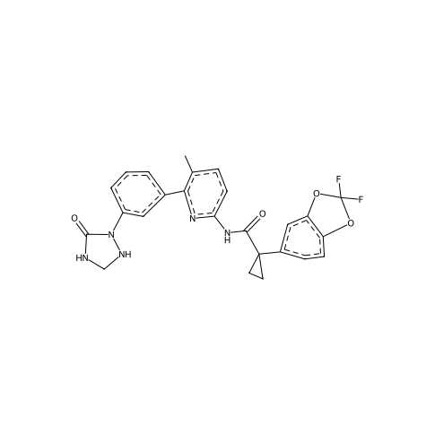 Cc1ccc(NC(=O)C2(c3ccc4c(c3)OC(F)(F)O4)CC2)nc1-c1cccc(N2NCNC2=O)c1